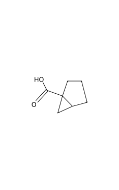 O=C(O)C12CCCC1C2